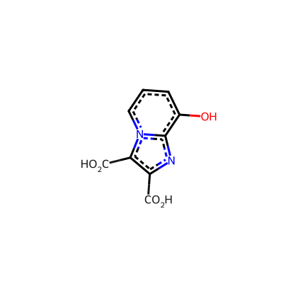 O=C(O)c1nc2c(O)cccn2c1C(=O)O